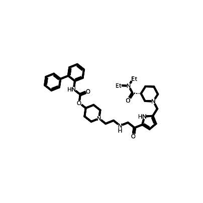 CCN(CC)C(=O)[C@@H]1CCCN(Cc2ccc(C(=O)CNCCN3CCC(OC(=O)Nc4ccccc4-c4ccccc4)CC3)[nH]2)C1